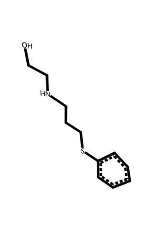 OCCNCCCSc1ccccc1